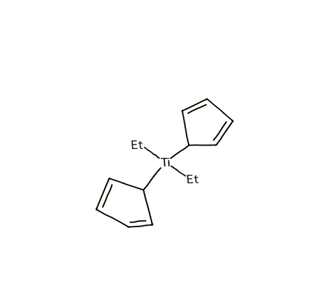 C[CH2][Ti]([CH2]C)([CH]1C=CC=C1)[CH]1C=CC=C1